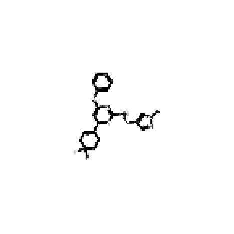 Cn1cc(SNc2nc(Oc3ccccc3)cc(C3=CCC(F)(F)CC3)n2)cn1